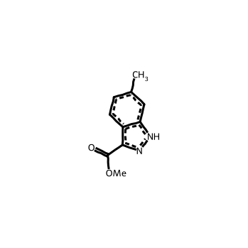 COC(=O)c1n[nH]c2cc(C)ccc12